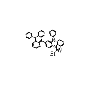 CCc1nc2cccc3c2n1-c1ccc(-c2c4ccccc4c(-c4ccccc4)c4ccccc24)cc1N3c1ccccc1